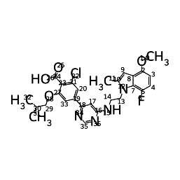 COc1ccc(F)c2c1cc(C)n2CCNc1cc(-c2cc(Cl)c(C(=O)O)c(OCC(C)C)c2)ncn1